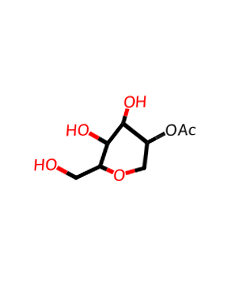 CC(=O)OC1COC(CO)C(O)C1O